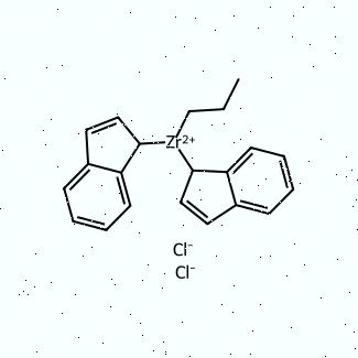 CC[CH2][Zr+2]([CH]1C=Cc2ccccc21)[CH]1C=Cc2ccccc21.[Cl-].[Cl-]